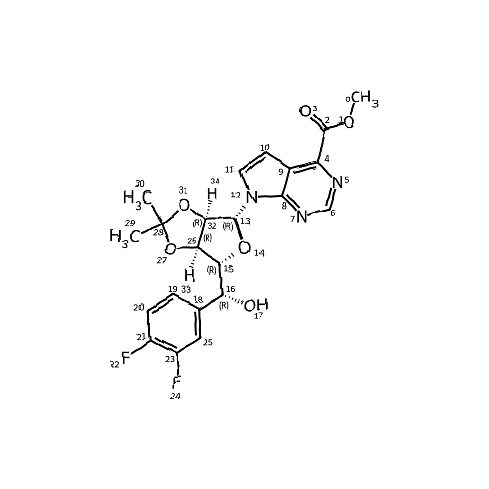 COC(=O)c1ncnc2c1ccn2[C@@H]1O[C@H]([C@H](O)c2ccc(F)c(F)c2)[C@H]2OC(C)(C)O[C@H]21